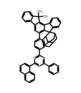 CC1(C)c2ccccc2-c2cc(-c3ccc(-c4nc(-c5ccccc5)nc(-c5cccc6ccccc56)n4)cc3)c3c(c21)-c1ccccc1C31C2CC3CC(C2)CC1C3